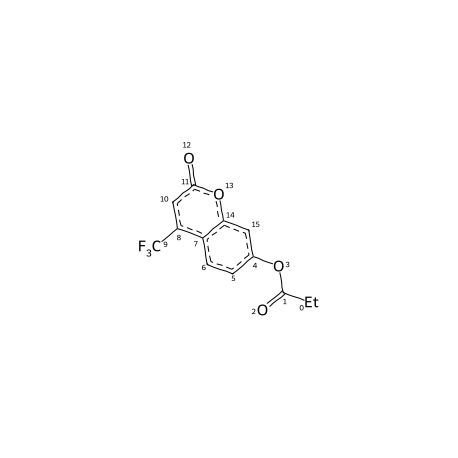 CCC(=O)Oc1ccc2c(C(F)(F)F)cc(=O)oc2c1